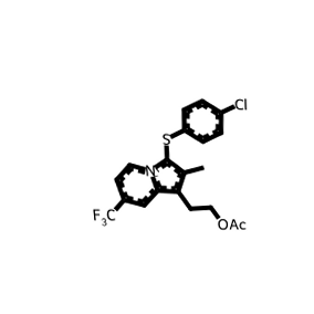 CC(=O)OCCc1c(C)c(Sc2ccc(Cl)cc2)n2ccc(C(F)(F)F)cc12